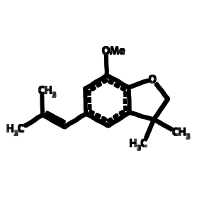 COc1cc(C=C(C)C)cc2c1OCC2(C)C